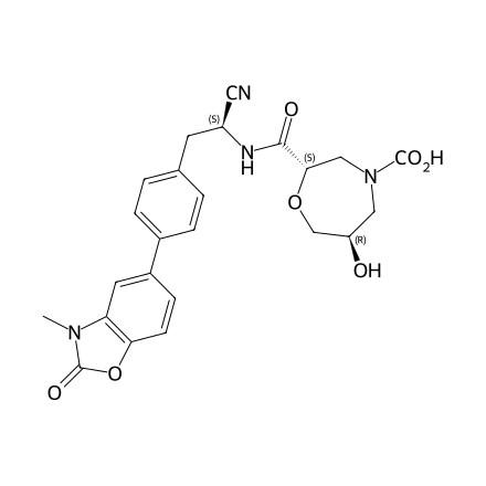 Cn1c(=O)oc2ccc(-c3ccc(C[C@@H](C#N)NC(=O)[C@@H]4CN(C(=O)O)C[C@@H](O)CO4)cc3)cc21